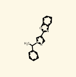 CC(c1ccccc1)n1cc(-c2nc3ccccc3o2)cn1